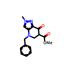 COC(=O)C1CN(Cc2ccccc2)c2cn(C)nc2C1=O